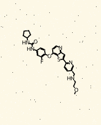 COCCNCc1ccc(-c2cc3nccc(Oc4ccc(NC(=O)NC5CCCC5)cc4F)c3s2)nc1